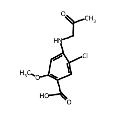 COc1cc(NCC(C)=O)c(Cl)cc1C(=O)O